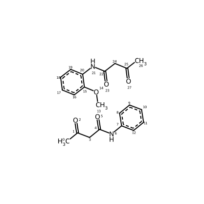 CC(=O)CC(=O)Nc1ccccc1.COc1ccccc1NC(=O)CC(C)=O